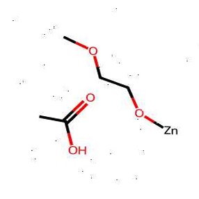 CC(=O)O.COCC[O][Zn]